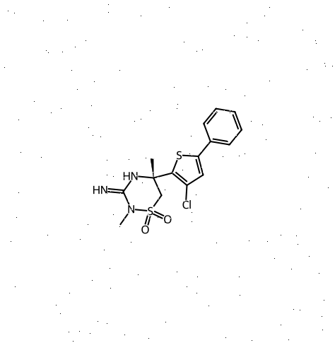 CN1C(=N)N[C@](C)(c2sc(-c3ccccc3)cc2Cl)CS1(=O)=O